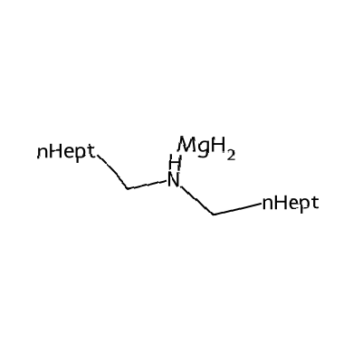 CCCCCCCCNCCCCCCCC.[MgH2]